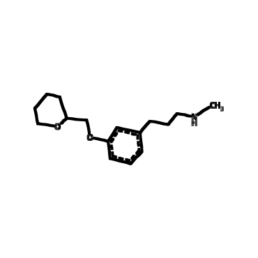 CNCCCc1cccc(OCC2CCCCO2)c1